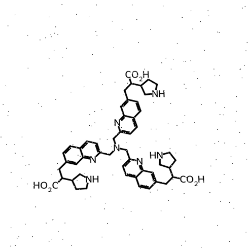 O=C(O)C(Cc1ccc2ccc(CN(Cc3ccc4ccc(CC(C(=O)O)C5CCNC5)cc4n3)Cc3ccc4ccc(CC(C(=O)O)C5CCNC5)cc4n3)nc2c1)C1CCNC1